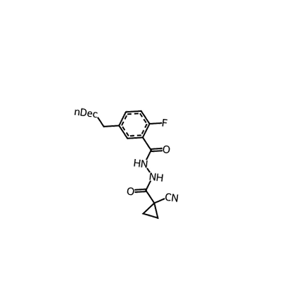 CCCCCCCCCCCc1ccc(F)c(C(=O)NNC(=O)C2(C#N)CC2)c1